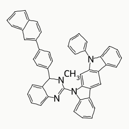 CN1C(n2c3ccccc3c3cc4c5ccccc5n(-c5ccccc5)c4cc32)=Nc2ccccc2C1c1ccc(-c2ccc3ccccc3c2)cc1